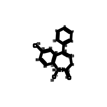 O=C1CN=C(c2ccccc2)c2cc(Cl)ccc2[NH+]1[O-]